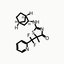 CC1(C(F)(F)c2ccccn2)SC(N[C@H]2C[C@@H]3CC[C@H]2C3)=NC1=O